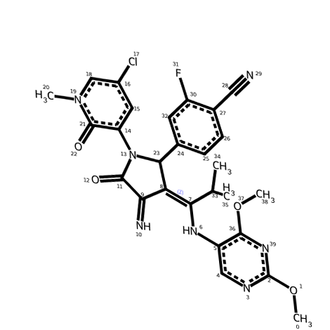 COc1ncc(N/C(=C2\C(=N)C(=O)N(c3cc(Cl)cn(C)c3=O)C2c2ccc(C#N)c(F)c2)C(C)C)c(OC)n1